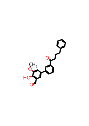 COc1cc(-c2cccc(C(=O)CCCc3ccccc3)c2)cc(C=O)c1O